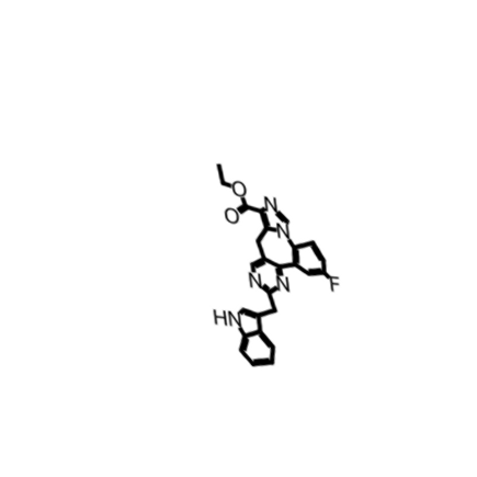 CCOC(=O)c1ncn2c1Cc1cnc(Cc3c[nH]c4ccccc34)nc1-c1cc(F)ccc1-2